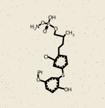 CC(CCc1ccc(Sc2cc(OC(C)C)ccc2O)cc1Cl)COP(=O)(O)ON